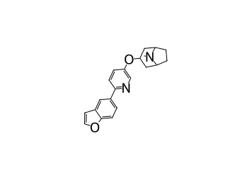 CN1C2CCC1CC(Oc1ccc(-c3ccc4occc4c3)nc1)C2